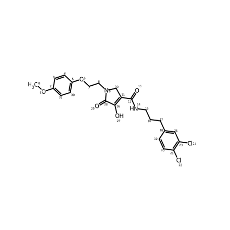 COc1ccc(OCCN2CC(C(=O)NCCCc3ccc(Cl)c(Cl)c3)=C(O)C2=O)cc1